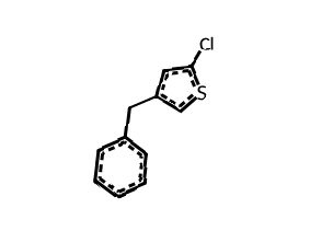 Clc1cc(Cc2ccccc2)cs1